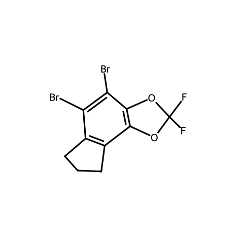 FC1(F)Oc2c(Br)c(Br)c3c(c2O1)CCC3